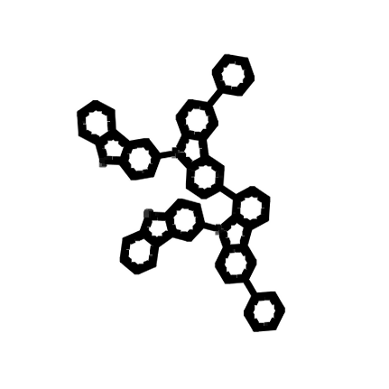 c1ccc(-c2ccc3c(c2)c2cc(-c4cccc5c6cc(-c7ccccc7)ccc6n(-c6ccc7oc8ccccc8c7c6)c45)ccc2n3-c2ccc3sc4ccccc4c3c2)cc1